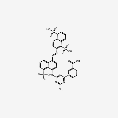 Nc1nc(Nc2ccc(N=Nc3ccc4c(S(=O)(=O)O)cccc4c3S(=O)(=O)O)c3cccc(S(=O)(=O)O)c23)nc(-[n+]2cccc(C(=O)O)c2)n1